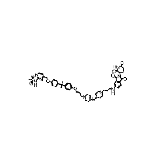 CC(C)(c1ccc(OCCCN2CCN(CC3CCN(CCCNc4ccc5c(c4)C(=O)N(C4CCC(=O)NC4=O)C5=O)CC3)CC2)cc1)c1ccc(OCc2ccnc(NS(C)(=O)=O)n2)cc1